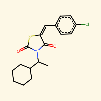 CC(C1CCCCC1)N1C(=O)SC(=Cc2ccc(Cl)cc2)C1=O